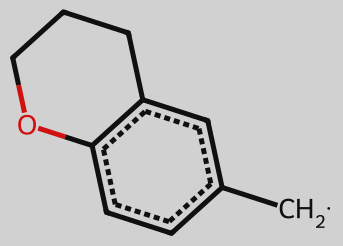 [CH2]c1ccc2c(c1)CCCO2